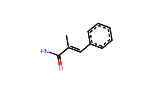 C/C(=C\c1ccccc1)C([NH])=O